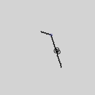 CCCCCCCC/C=C\CCCCCCCCCCCC(=O)OC(=O)CCCCCCCCCCCCC